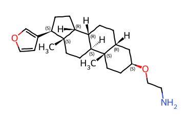 C[C@]12CC[C@H](OCCN)C[C@H]1CC[C@H]1[C@H]3CC[C@H](c4ccoc4)[C@@]3(C)CC[C@@H]12